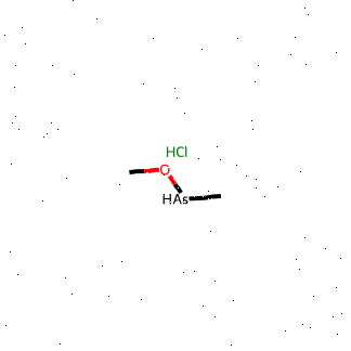 CO[AsH]C.Cl